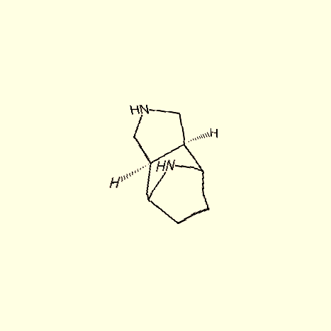 C1CC2NC1[C@H]1CNC[C@@H]21